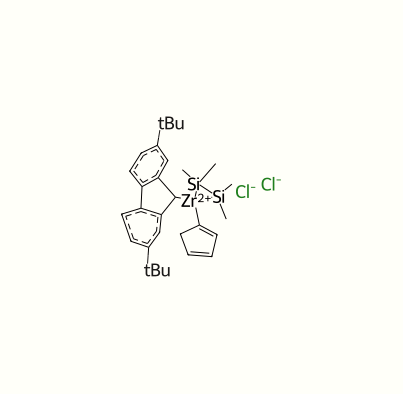 CC(C)(C)c1ccc2c(c1)[CH]([Zr+2]1([C]3=CC=CC3)[Si](C)(C)[Si]1(C)C)c1cc(C(C)(C)C)ccc1-2.[Cl-].[Cl-]